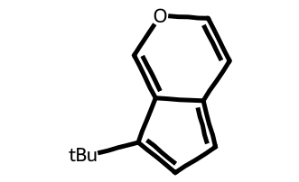 [CH2]C(C)(C)c1ccc2ccocc1-2